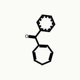 O=C(C1=CC=CCC=C1)c1ccccc1